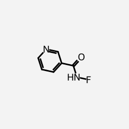 O=C(NF)c1cccnc1